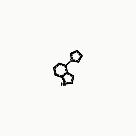 c1cc(-n2cccc2)c2cc[nH]c2c1